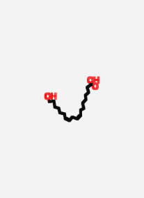 O=C(O)CCCCCCC/C=C\C/C=C\CCCCCCO